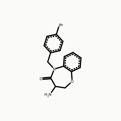 CC(C)c1ccc(CN2C(=O)C(N)COc3ccccc32)cc1